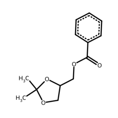 CC1(C)OCC(COC(=O)c2ccccc2)O1